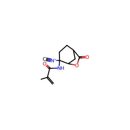 [C-]#[N+]C1(NC(=O)C(=C)C)CCC2CC1OC2=O